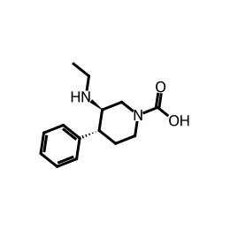 CCN[C@H]1CN(C(=O)O)CC[C@@H]1c1ccccc1